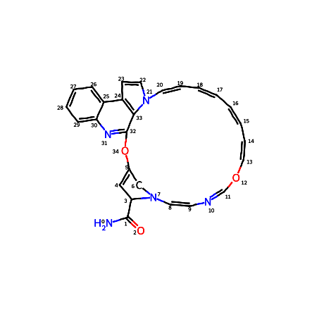 NC(=O)C1C=C2CN1C=CN=COC=CC=CC=CC=Cn1ccc3c4ccccc4nc(c31)O2